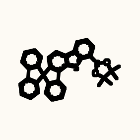 CC1(C)OB(c2cccc3c2sc2c4c(ccc23)C2(c3ccccc3-c3ccccc32)c2ccccc2-4)OC1(C)C